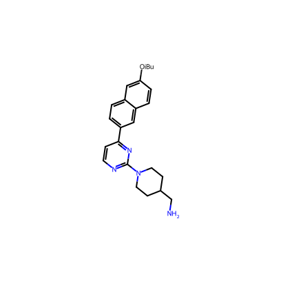 CC(C)COc1ccc2cc(-c3ccnc(N4CCC(CN)CC4)n3)ccc2c1